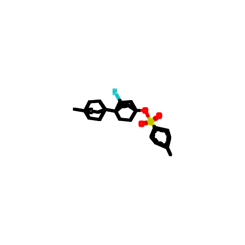 Cc1ccc(S(=O)(=O)OC23C=C(F)C(C45CCC(C)(CC4)CC5)(CC2)CC3)cc1